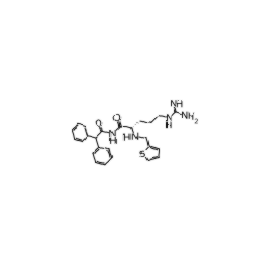 N=C(N)NCCC[C@H](NCc1cccs1)C(=O)NC(=O)C(c1ccccc1)c1ccccc1